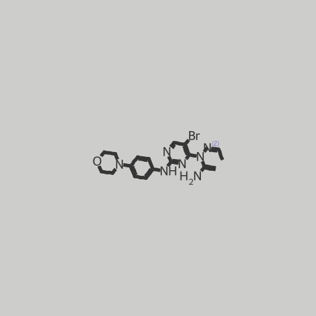 C=C(N)N(/N=C\C)c1nc(Nc2ccc(N3CCOCC3)cc2)ncc1Br